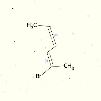 C/C=C\C=C(/C)Br